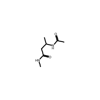 CNC(=O)CC(C)NC(C)=O